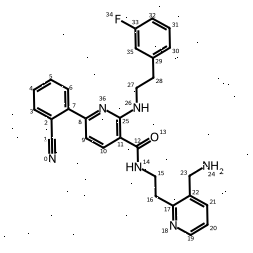 N#Cc1ccccc1-c1ccc(C(=O)NCCc2ncccc2CN)c(NCCc2cccc(F)c2)n1